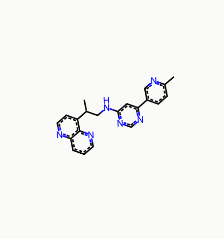 Cc1ccc(-c2cc(NCC(C)c3ccnc4cccnc34)ncn2)cn1